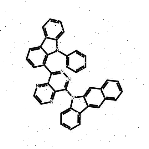 c1ccc(-n2c3ccccc3c3cccc(-c4nnc(-n5c6ccccc6c6cc7ccccc7cc65)c5nccnc45)c32)cc1